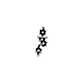 O=c1nc2n(Cc3cnc(Cl)nc3)cccc-2c(=O)n1-c1ccc(Br)cc1